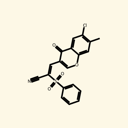 Cc1cc2occ(C=C(C#N)S(=O)(=O)c3ccccc3)c(=O)c2cc1Cl